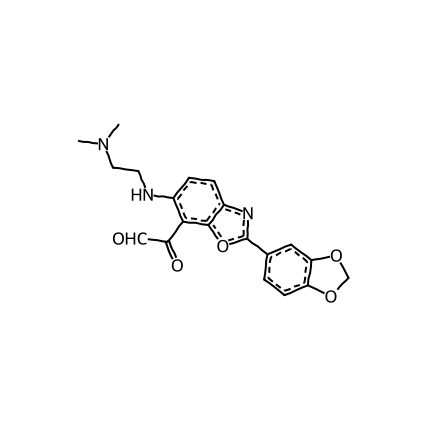 CN(C)CCNc1ccc2nc(-c3ccc4c(c3)OCO4)oc2c1C(=O)C=O